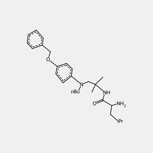 CCCCN(CC(C)(C)NC(=O)C(N)CC(C)C)c1ccc(OCc2ccccc2)cc1